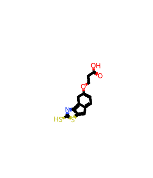 O=C(O)CCOC1=CC=C2C=c3sc(S)nc3=C2C1